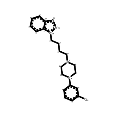 Clc1cccc(N2CCN(CCCCn3nnc4ccccc43)CC2)c1